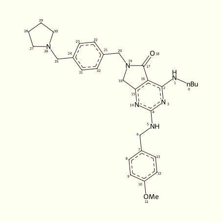 CCCCNc1nc(NCc2ccc(OC)cc2)nc2c1C(=O)N(Cc1ccc(CN3CCCC3)cc1)C2